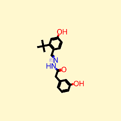 CC(C)(C)c1cc(O)ccc1/C=N/NC(=O)Cc1cccc(O)c1